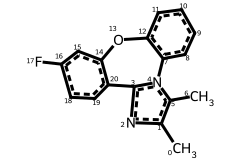 Cc1nc2n(c1C)-c1ccccc1Oc1cc(F)ccc1-2